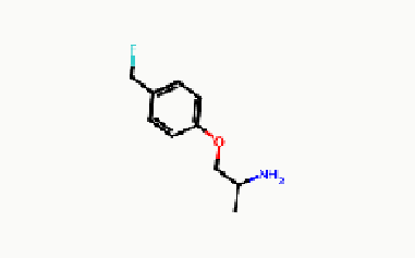 CC(N)COc1ccc(CF)cc1